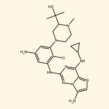 CN1CCN(c2cc(N)cc(Nc3nc(NC4CC4)c4ncc(N)n4n3)c2Cl)CC1C(C)(C)O